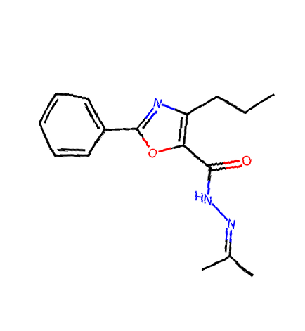 CCCc1nc(-c2ccccc2)oc1C(=O)NN=C(C)C